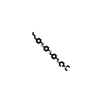 C=C(/C=C\C(=C/C)N=Nc1ccc(C=Nc2ccc(N=Nc3ccc(CCCC)cc3)cc2)cc1)N(CC)CC